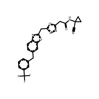 N#CC1(NC(=O)Cc2nnc(Cc3nc4ccc(Cc5cccc(C(F)(F)F)c5)cc4s3)o2)CC1